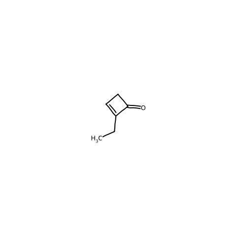 CCC1=CCC1=O